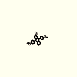 CCOc1ccc(-c2c3ccccc3c(-c3ccc(OCC)cc3)c3cc(Br)ccc23)cc1